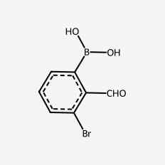 O=Cc1c(Br)cccc1B(O)O